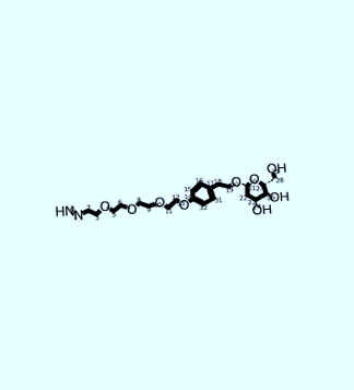 N=NCCOCCOCCOCCOc1ccc(CCO[C@H]2C[C@@H](O)[C@H](O)[C@@H](CO)O2)cc1